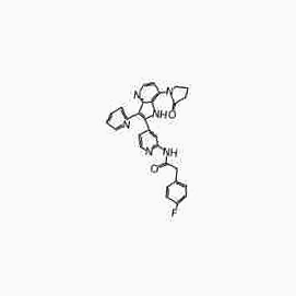 O=C(Cc1ccc(F)cc1)Nc1cc(-c2[nH]c3c(N4CCCC4=O)ccnc3c2-c2ccccn2)ccn1